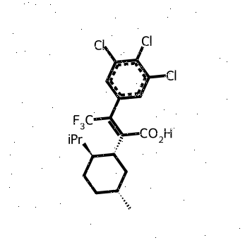 CC(C)[C@@H]1CC[C@@H](C)C[C@H]1C(C(=O)O)=C(c1cc(Cl)c(Cl)c(Cl)c1)C(F)(F)F